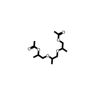 CC(=O)OCC(C)OCC(C)OCC(C)OC(C)=O